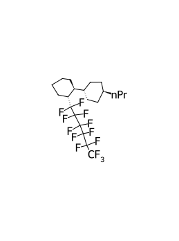 CCC[C@H]1CC[C@H]([C@@H]2CCCC[C@H]2C(F)(F)C(F)(F)C(F)(F)C(F)(F)C(F)(F)C(F)(F)F)CC1